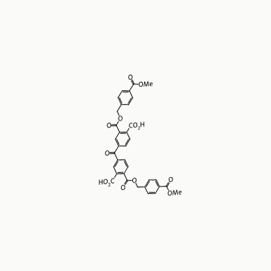 COC(=O)c1ccc(COC(=O)c2ccc(C(=O)c3ccc(C(=O)O)c(C(=O)OCc4ccc(C(=O)OC)cc4)c3)cc2C(=O)O)cc1